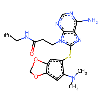 CC(C)CNC(=O)CCn1c(Sc2cc3c(cc2N(C)C)OCO3)nc2c(N)ncnc21